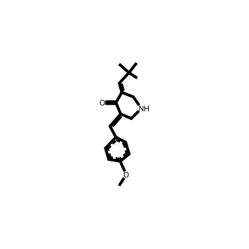 COc1ccc(C=C2CNCC(=CC(C)(C)C)C2=O)cc1